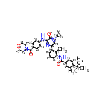 Cc1c(NC(=O)c2ccc(C(C)(C)C)cc2)cccc1-c1cn(C2CC2)c(=O)c(Nc2ccc(C(=O)N3CCOCC3)cc2)n1